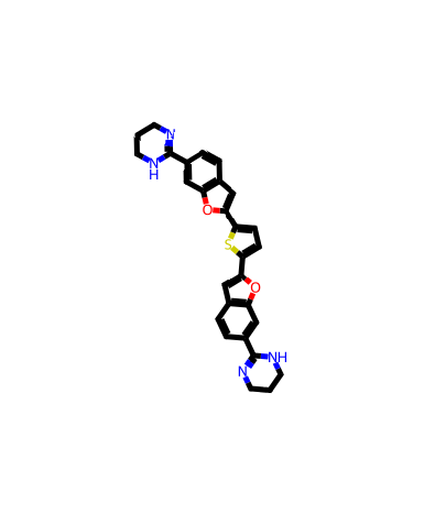 c1cc2cc(-c3ccc(-c4cc5ccc(C6=NCCCN6)cc5o4)s3)oc2cc1C1=NCCCN1